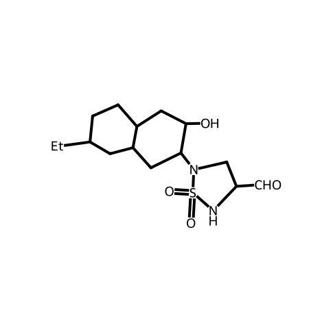 CCC1CCC2CC(O)C(N3CC(C=O)NS3(=O)=O)CC2C1